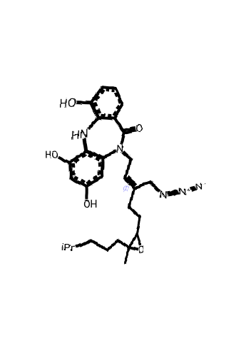 CC(C)CCCC1(C)OC1CC/C(=C/CN1C(=O)c2cccc(O)c2Nc2c(O)cc(O)cc21)CN=[N+]=[N-]